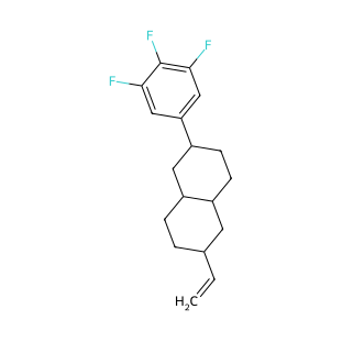 C=CC1CCC2CC(c3cc(F)c(F)c(F)c3)CCC2C1